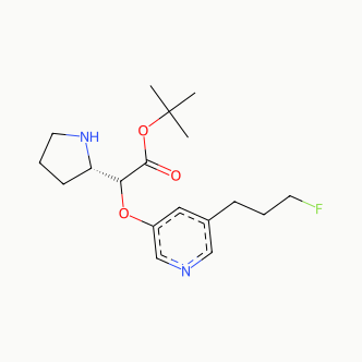 CC(C)(C)OC(=O)C(Oc1cncc(CCCF)c1)[C@@H]1CCCN1